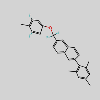 Cc1cc(C)c(-c2ccc3cc(C(F)(F)Oc4cc(F)c(C)c(F)c4)ccc3c2)c(C)c1